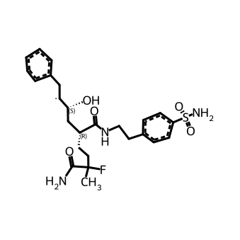 CC(F)(CC[C@H](C[C@@H](O)[CH]Cc1ccccc1)C(=O)NCCc1ccc(S(N)(=O)=O)cc1)C(N)=O